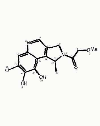 COCC(=O)N1Cc2cnc3cc(Cl)c(O)c(O)c3c2[C@@H]1C